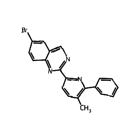 Cc1ccc(-c2ncc3cc(Br)ccc3n2)nc1-c1ccccc1